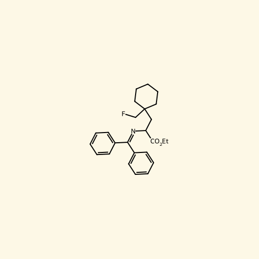 CCOC(=O)C(CC1(CF)CCCCC1)N=C(c1ccccc1)c1ccccc1